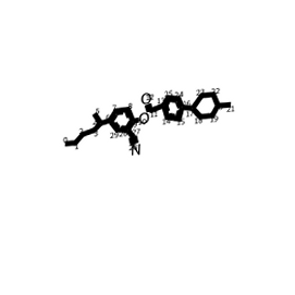 CCCCC(C)c1ccc(OC(=O)c2ccc(C3CCC(C)CC3)cc2)c(C#N)c1